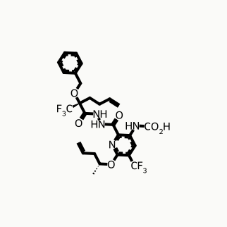 C=CCC[C@@](OCc1ccccc1)(C(=O)NNC(=O)c1nc(O[C@H](C)CC=C)c(C(F)(F)F)cc1NC(=O)O)C(F)(F)F